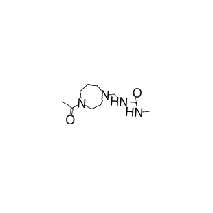 CNC(=O)NCN1CCCN(C(C)=O)CC1